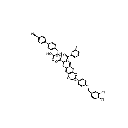 Cc1cccc(C(=O)N2C=C3CC4=C(C=C3CC2C(=O)N[C@@H](Cc2ccc(-c3ccc(C#N)cc3)cc2)C(=O)O)OC[C@H](c2ccc(OCc3ccc(Cl)c(Cl)c3)cc2)O4)c1